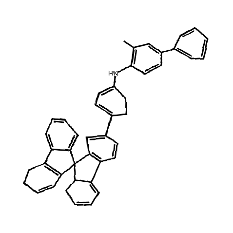 Cc1cc(-c2ccccc2)ccc1NC1=CC=C(c2ccc3c(c2)C2(C4=C(CCC=C4)c4ccccc42)C2CC=CC=C32)CC1